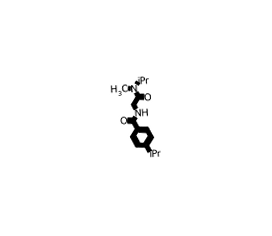 CC(C)c1ccc(C(=O)NCC(=O)N(C)C(C)C)cc1